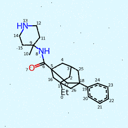 CCC12CC3CC(C(=O)NC4(C)CCNCC4)(C1)CC(c1ccccc1)(C3)C2